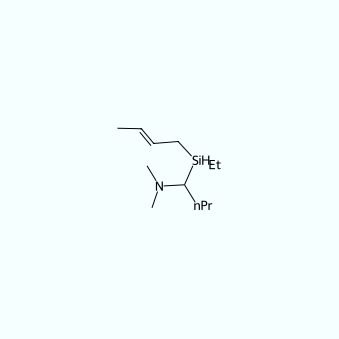 C/C=C/C[SiH](CC)C(CCC)N(C)C